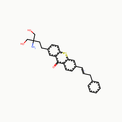 NC(CO)(CO)CCc1ccc2sc3cc(/C=C/Cc4ccccc4)ccc3c(=O)c2c1